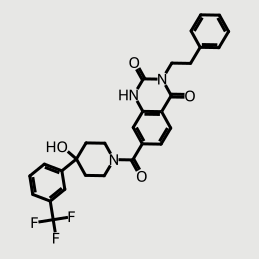 O=C(c1ccc2c(=O)n(CCc3ccccc3)c(=O)[nH]c2c1)N1CCC(O)(c2cccc(C(F)(F)F)c2)CC1